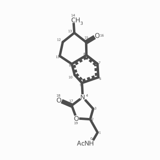 CC(=O)NCC1CN(c2ccc3c(c2)CCC(C)C3=O)C(=O)O1